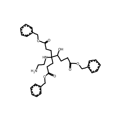 NCCNC(CCC(=O)OCc1ccccc1)(CCC(=O)OCc1ccccc1)C(O)CCC(=O)OCc1ccccc1